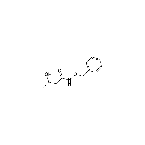 CC(O)CC(=O)NOCc1ccccc1